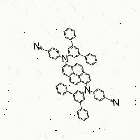 N#Cc1ccc(N(c2cc(-c3ccccc3)cc(-c3ccccc3)c2)c2ccc3ccc4c(N(c5ccc(C#N)cc5)c5cc(-c6ccccc6)cc(-c6ccccc6)c5)ccc5ccc2c3c54)cc1